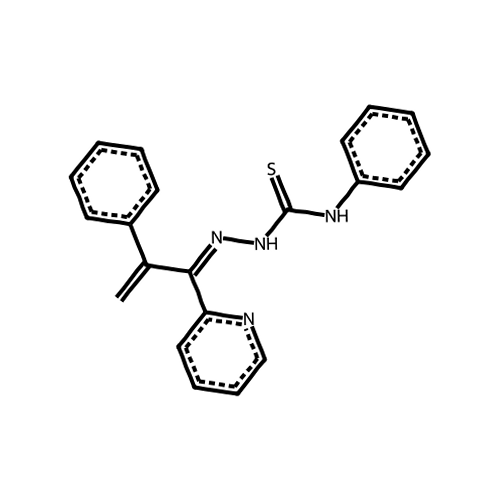 C=C(C(=NNC(=S)Nc1ccccc1)c1ccccn1)c1ccccc1